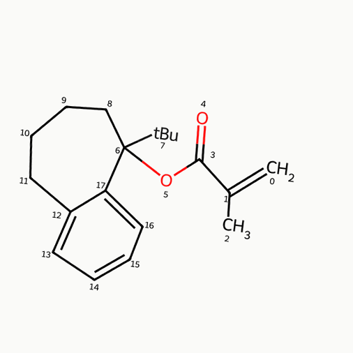 C=C(C)C(=O)OC1(C(C)(C)C)CCCCc2ccccc21